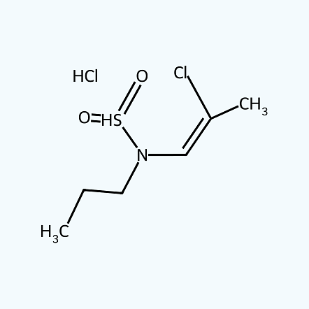 CCCN(C=C(C)Cl)[SH](=O)=O.Cl